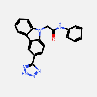 O=C(Cn1c2ccccc2c2cc(-c3nn[nH]n3)ccc21)Nc1ccccc1